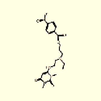 CCN(CCCOC(=O)c1ccc([N+](=O)[O-])cc1)CCNc1cc(=O)n(C)c(=O)n1C